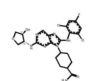 NC(=O)C1CCC(n2c(Nc3c(Cl)cc(F)cc3Cl)nc3cnc(N[C@@H]4COC[C@H]4O)nc32)CC1